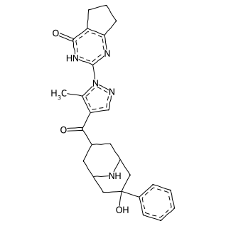 Cc1c(C(=O)C2CC3CC(O)(c4ccccc4)CC(C2)N3)cnn1-c1nc2c(c(=O)[nH]1)CCC2